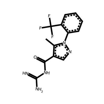 Cc1c(C(=O)NC(=N)N)cnn1-c1ccccc1C(F)(F)F